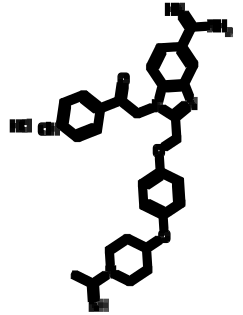 CC(=N)N1CCC(Oc2ccc(OCc3nc4cc(C(=N)N)ccc4n3CC(=O)c3ccccc3)cc2)CC1.Cl.Cl